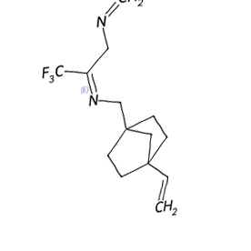 C=CC12CCC(C/N=C(\CN=C)C(F)(F)F)(CC1)C2